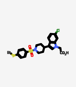 CCSc1ccc(S(=O)(=O)N2CCC(c3cn(CC(=O)O)c4cc(Cl)ccc34)CC2)cc1